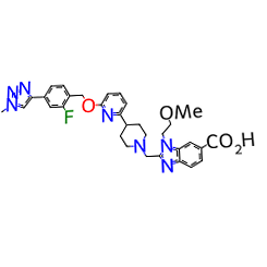 COCCn1c(CN2CCC(c3cccc(OCc4ccc(-c5cn(C)nn5)cc4F)n3)CC2)nc2ccc(C(=O)O)cc21